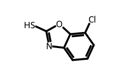 Sc1nc2cccc(Cl)c2o1